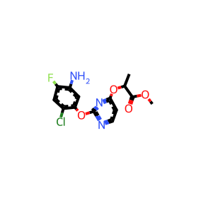 COC(=O)C(C)Oc1ccnc(Oc2cc(N)c(F)cc2Cl)n1